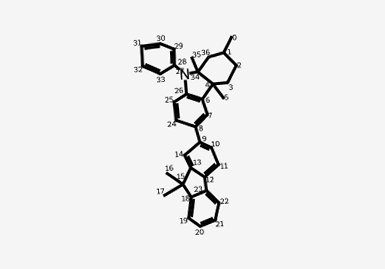 CC1CCC2(C)c3cc(-c4ccc5c(c4)C(C)(C)c4ccccc4-5)ccc3N(c3ccccc3)C2(C)C1